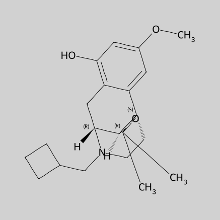 COc1cc(O)c2c(c1)[C@]13CCN(CC4CCC4)[C@H](C2)[C@@H]1CC(C)(C)OC3